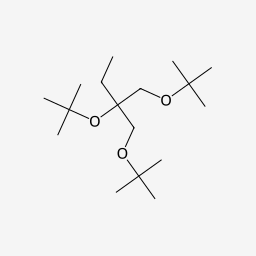 CCC(COC(C)(C)C)(COC(C)(C)C)OC(C)(C)C